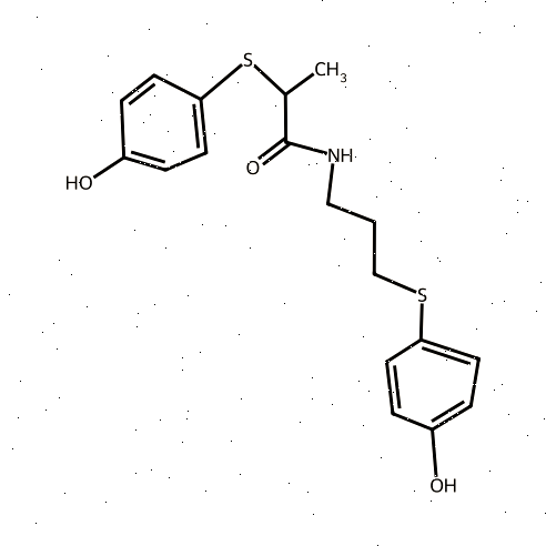 CC(Sc1ccc(O)cc1)C(=O)NCCCSc1ccc(O)cc1